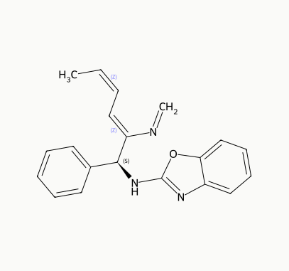 C=N/C(=C\C=C/C)[C@@H](Nc1nc2ccccc2o1)c1ccccc1